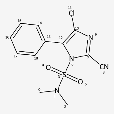 CN(C)S(=O)(=O)n1c(C#N)nc(Cl)c1-c1ccccc1